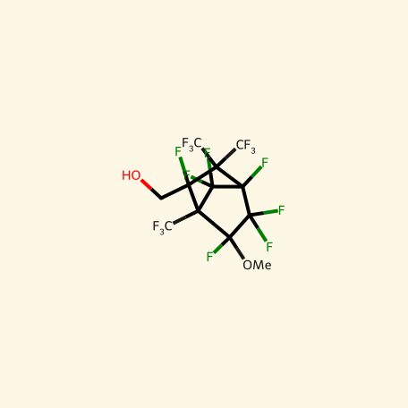 COC1(F)C(F)(F)C2(F)C(F)(F)C1(C(F)(F)F)C(F)(CO)C2(C(F)(F)F)C(F)(F)F